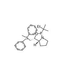 CCC(C)(C)P1O[C@@H](CS(C)(c2ccccc2)c2ccccc2)[C@H]2CCCN21